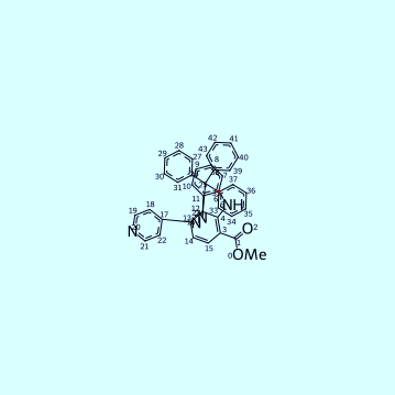 COC(=O)C1=C2Nc3ccccc3C23C(C=C1)N(c1ccncc1)CN3C(c1ccccc1)(c1ccccc1)c1ccccc1